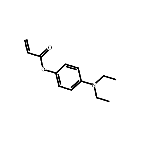 C=CC(=O)Oc1ccc(N(CC)CC)cc1